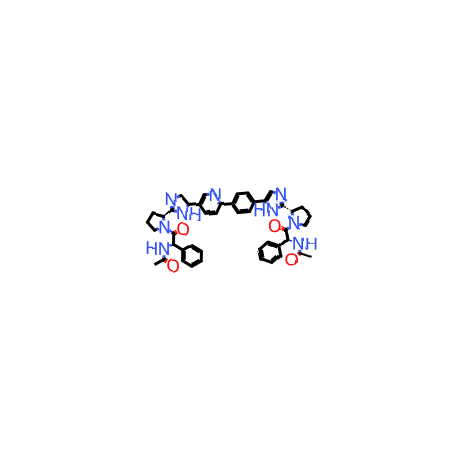 CC(=O)N[C@@H](C(=O)N1CCC[C@H]1C1=NCC(c2ccc(-c3ccc(-c4cnc([C@@H]5CCCN5C(=O)[C@H](NC(C)=O)c5ccccc5)[nH]4)cc3)nc2)N1)c1ccccc1